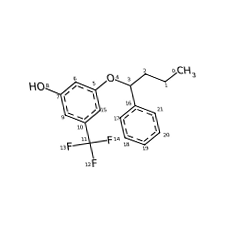 CCCC(Oc1cc(O)cc(C(F)(F)F)c1)c1ccccc1